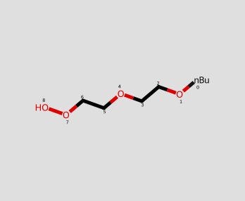 CCCCOCCOCCOO